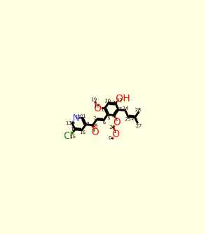 COCOc1c(C=CC(=O)c2cncc(Cl)c2)c(OC)cc(O)c1CC=C(C)C